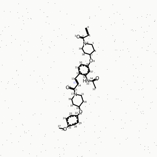 C=CC(=O)N1CCC(Oc2ccc(/C=C/C(=O)N3CCC(Oc4ccc(OC)cc4)CC3)c(NC(C)=O)c2)CC1